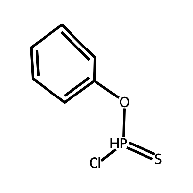 S=[PH](Cl)Oc1ccccc1